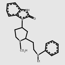 CCN(CCC1CC(n2c(=O)[nH]c3ccccc32)CCN1C(=O)O)c1ccccc1